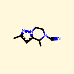 Cc1cc2n(n1)CCN(C#N)C2C